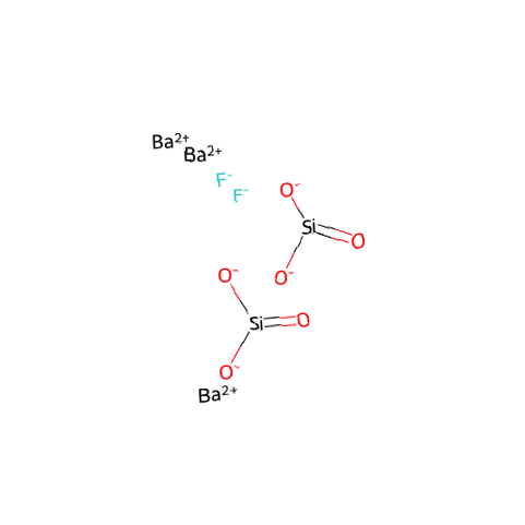 O=[Si]([O-])[O-].O=[Si]([O-])[O-].[Ba+2].[Ba+2].[Ba+2].[F-].[F-]